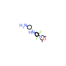 CC1CN(c2c(F)cc(NC[C@H]3CC[C@H](N)CC3)cc2F)CC(C)O1